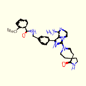 COc1ccccc1C(=O)NCc1ccc(-c2nc(N3CCC4(CCNC4=O)CC3)n3ccnc(N)c23)cc1